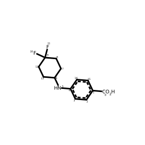 O=C(O)c1ccc(NC2CCC(F)(F)CC2)cc1